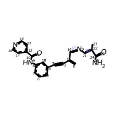 C=C(C#Cc1cccc(NC(=O)c2ccncc2)c1)/C=N\C=C(/C)C(N)=O